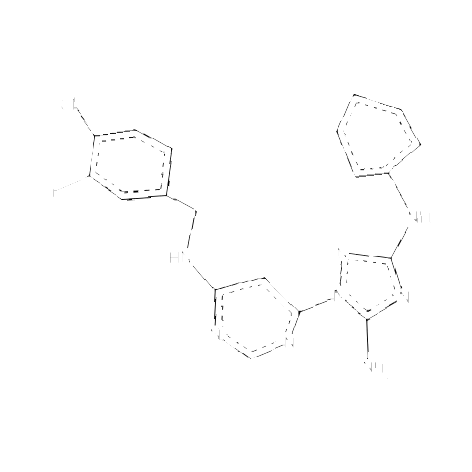 Nc1nc(Nc2ccccc2)nn1-c1cc(NCc2ccc(Cl)c(Cl)c2)ncn1